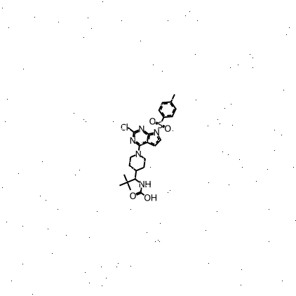 Cc1ccc(S(=O)(=O)n2ccc3c(N4CCC(C(NC(=O)O)C(C)(C)C)CC4)nc(Cl)nc32)cc1